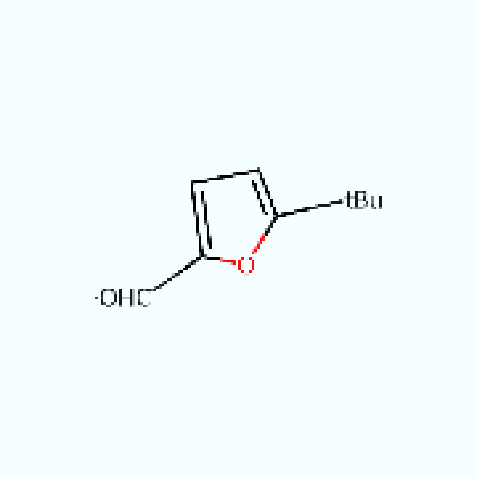 CC(C)(C)c1ccc([C]=O)o1